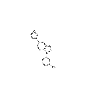 Oc1cccc(-n2cnc3cc(-c4ccoc4)cnc32)c1